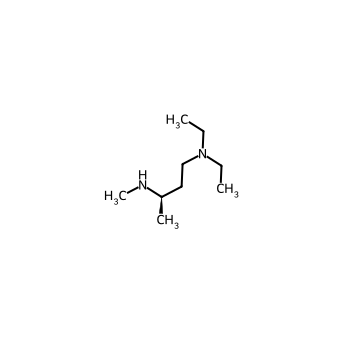 CCN(CC)CC[C@@H](C)NC